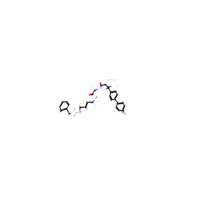 CN[C@H](C(=O)N[C@H](C(=O)N(C)[C@H](/C=C(\C)C(=O)NS(=O)(=O)Cc1ccccc1)C(C)C)C(C)(C)C)C(C)(C)c1ccc(-c2ccc(C(C)=O)cc2)cc1